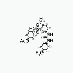 CC(=O)Oc1ccc(NS(=O)(=O)c2cc(NC(=O)Nc3ccc(C(F)(F)F)cc3)ccc2C)cc1